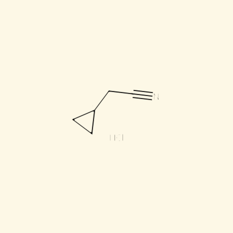 Cl.N#CCC1CC1